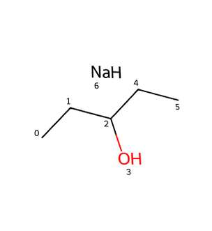 CCC(O)CC.[NaH]